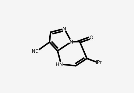 CC(C)c1c[nH]c2c(C#N)cnn2c1=O